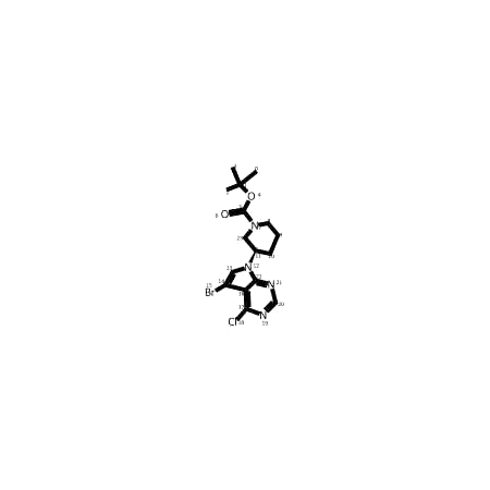 CC(C)(C)OC(=O)N1CCC[C@@H](n2cc(Br)c3c(Cl)ncnc32)C1